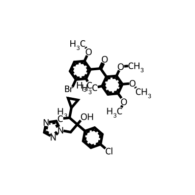 CC(C1CC1)C(O)(Cn1cncn1)c1ccc(Cl)cc1.COc1cc(C)c(C(=O)c2c(OC)ccc(Br)c2C)c(OC)c1OC